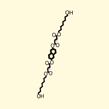 O=C(/C=C/C(=O)Oc1ccc2cc(OC(=O)/C=C/C(=O)OCCCCCCCCO)ccc2c1)OCCCCCCCCO